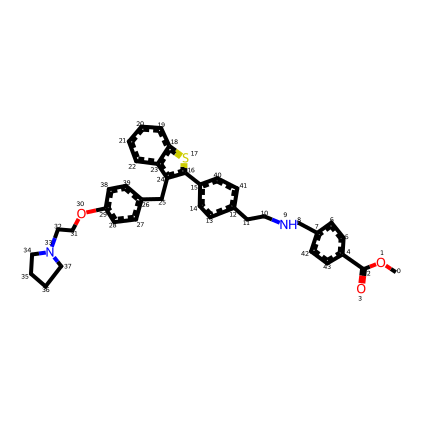 COC(=O)c1ccc(CNCCc2ccc(-c3sc4ccccc4c3Cc3ccc(OCCN4CCCC4)cc3)cc2)cc1